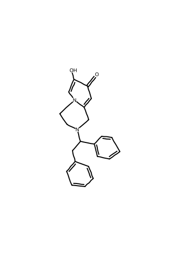 O=c1cc2n(cc1O)CCN(C(Cc1ccccc1)c1ccccc1)C2